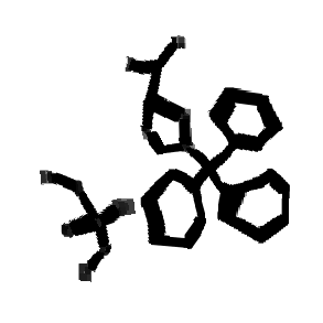 CCC(I)c1ncn(C(c2ccccc2)(c2ccccc2)c2ccccc2)n1.CCOP(=O)(O)OCC